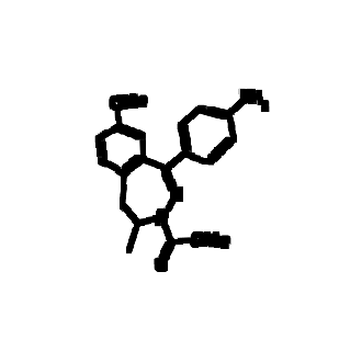 COC(=O)N1N=C(c2ccc(N)cc2)c2cc(OC)ccc2CC1C